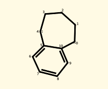 [C]1CCC[C]c2ccccc21